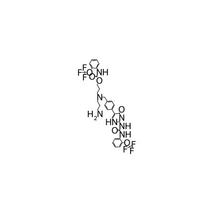 NCCCN(CCCOC(=O)Nc1ccccc1OC(F)(F)F)Cc1ccc(-c2c[nH]c(NC(=O)Nc3ccccc3OC(F)(F)F)nc2=O)cc1